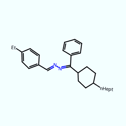 CCCCCCCC1CCC(C(=NN=Cc2ccc(CC)cc2)c2ccccc2)CC1